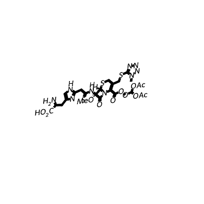 CO[C@@]1(NC(=S)Cc2nc(CC(N)C(=O)O)c[nH]2)C(=O)N2C(C(=O)OOC(OC(C)=O)OC(C)=O)=C(CSc3nnnn3C)CS[C@H]21